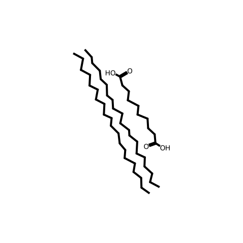 CCCCCCCCCCCCCCCCCCCC.CCCCCCCCCCCCCCCCCCCC.O=C(O)CCCCCCCCC(=O)O